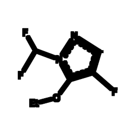 CCOc1c(F)[c]nn1C(F)F